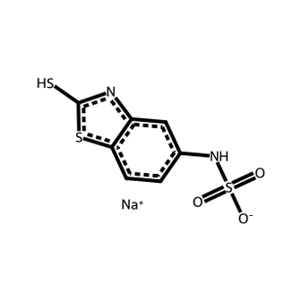 O=S(=O)([O-])Nc1ccc2sc(S)nc2c1.[Na+]